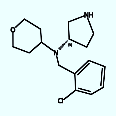 Clc1ccccc1CN(C1CCOCC1)[C@H]1CCNC1